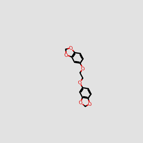 c1cc2c(cc1OCCOc1ccc3c(c1)OCO3)OCO2